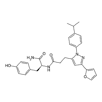 CC(C)c1ccc(-n2nc(-c3ccco3)cc2CCC(=O)N[C@@H](Cc2ccc(O)cc2)C(N)=O)cc1